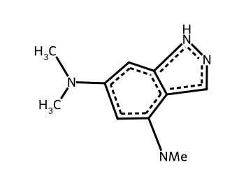 CNc1cc(N(C)C)cc2[nH]ncc12